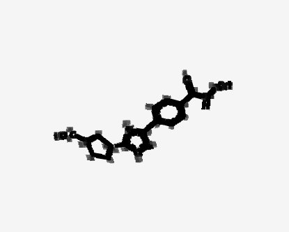 CCCCCCCCNC(=O)c1ccc(-c2noc([C@@H]3CCN(C(=O)O)C3)n2)cc1